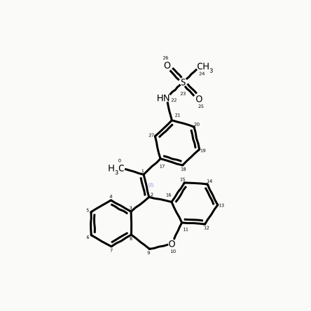 C/C(=C1\c2ccccc2COc2ccccc21)c1cccc(NS(C)(=O)=O)c1